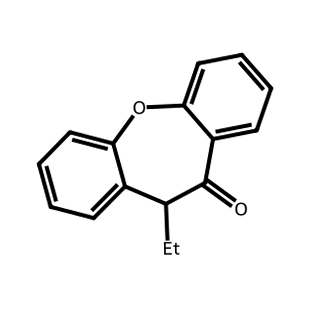 CCC1C(=O)c2ccccc2Oc2ccccc21